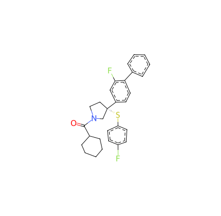 O=C(C1CCCCC1)N1CC[C@@](Sc2ccc(F)cc2)(c2ccc(-c3ccccc3)c(F)c2)C1